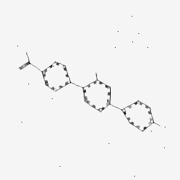 C=C(C)c1ccc(-c2ccc(-c3ccc(C)cc3)cc2F)cc1